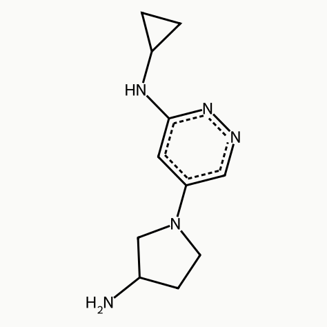 NC1CCN(c2cnnc(NC3CC3)c2)C1